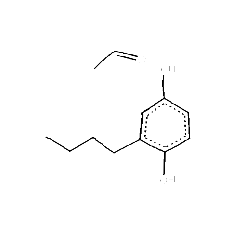 CCCCc1cc(O)ccc1O.[CH2]C=O